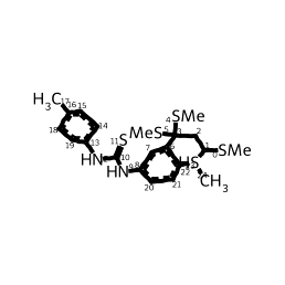 CSC1CC(SC)(SC)c2cc(NC(=S)Nc3ccc(C)cc3)ccc2[SH]1C